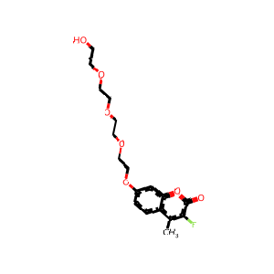 Cc1c(F)c(=O)oc2cc(OCCOCCOCCOCCO)ccc12